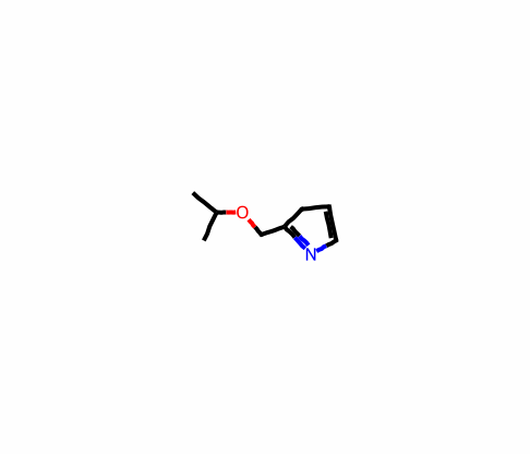 CC(C)OCC1=NC=CC1